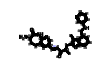 Cc1c(CN(C)C(=O)/C=C/c2cnc3c(c2)CC[C@H](N)C(=O)N3)oc2cccc(CNc3cccnc3)c12